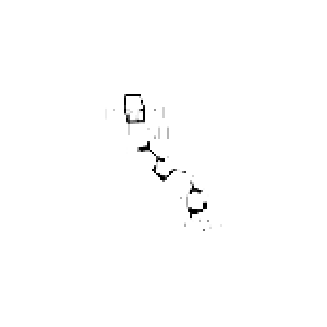 COc1csc(Sc2ccc(C(=O)N[C@@H]3C[C@H]4CC[C@@H]3N4)s2)n1